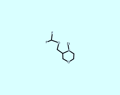 CCN1CCOCC1COC(F)F